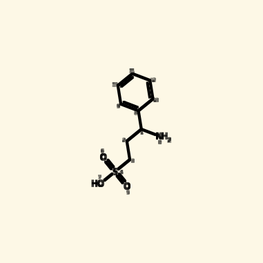 NC(CCS(=O)(=O)O)c1ccccc1